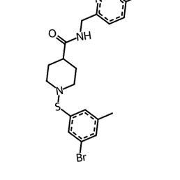 Cc1cc(Br)cc(SN2CCC(C(=O)NCc3ccc(F)cn3)CC2)c1